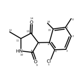 Cc1ccc(Cl)c(C2C(=O)NC(C)C2=O)c1C